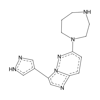 c1n[nH]cc1-c1cnc2ccc(N3CCCNCC3)nn12